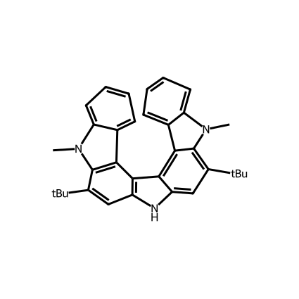 Cn1c2ccccc2c2c3c(cc(C(C)(C)C)c21)[nH]c1cc(C(C)(C)C)c2c(c4ccccc4n2C)c13